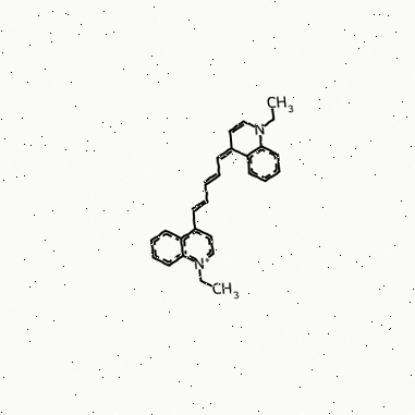 CCN1C=C/C(=C/C=C/C=C/c2cc[n+](CC)c3ccccc23)c2ccccc21